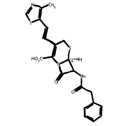 Cc1ncsc1C=CC1=C(C(=O)O)N2C(=O)C(NC(=O)Cc3ccccc3)[C@@H]2SC1